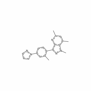 Cc1cc(C)c2c(n1)c(-c1ccc(-n3cccn3)cc1C)nn2C